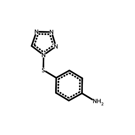 Nc1ccc(Sn2cnnn2)cc1